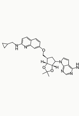 CNc1ncnc2c1ccn2C1C[C@H](COc2ccc3ccc(NCC4CC4)nc3c2)[C@H]2OC(C)(C)O[C@@H]12